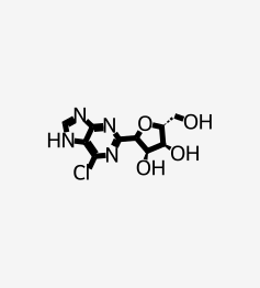 OC[C@H]1OC(c2nc(Cl)c3[nH]cnc3n2)[C@H](O)[C@@H]1O